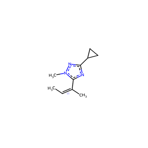 C/C=C(/C)c1nc(C2CC2)nn1C